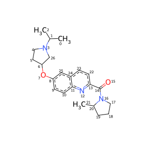 CC(C)N1CCC(Oc2ccc3nc(C(=O)N4CCCC4C)ccc3c2)C1